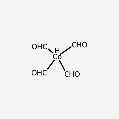 O=[CH][CoH]([CH]=O)([CH]=O)[CH]=O